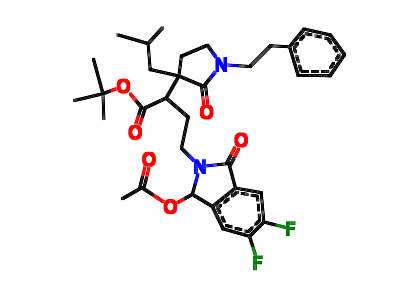 CC(=O)OC1c2cc(F)c(F)cc2C(=O)N1CCC(C(=O)OC(C)(C)C)C1(CC(C)C)CCN(CCc2ccccc2)C1=O